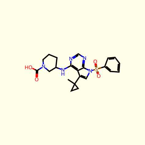 CC1(c2cn(S(=O)(=O)c3ccccc3)c3ncnc(NC4CCCN(C(=O)O)C4)c23)CC1